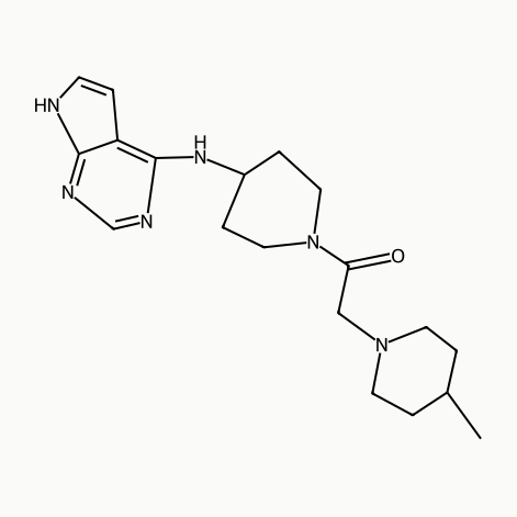 CC1CCN(CC(=O)N2CCC(Nc3ncnc4[nH]ccc34)CC2)CC1